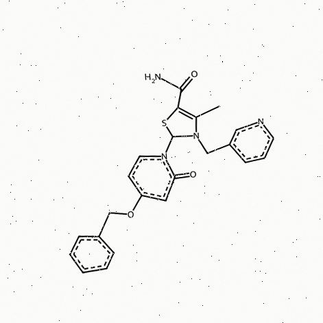 CC1=C(C(N)=O)SC(n2ccc(OCc3ccccc3)cc2=O)N1Cc1cccnc1